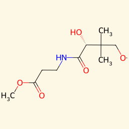 COC(=O)CCNC(=O)[C@H](O)C(C)(C)C[O]